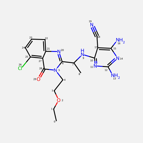 CCOCCn1c(C(C)Nc2nc(N)nc(N)c2C#N)nc2cccc(Cl)c2c1=O